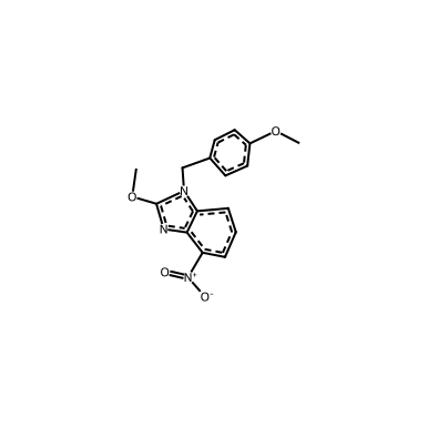 COc1ccc(Cn2c(OC)nc3c([N+](=O)[O-])cccc32)cc1